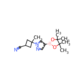 CC1(n2cc(B3OC(C)(C)C(C)(C)O3)cn2)CC(C#N)C1